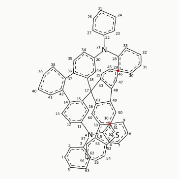 c1ccc(N(c2ccccc2)c2ccc3c(c2)C2(c4cc(N(c5ccccc5)c5ccccc5)ccc4-c4ccccc4-3)c3ccccc3-c3cc4sc5ccccc5c4cc32)cc1